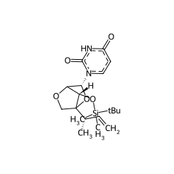 C=C[C@H](C)C12COC([C@H](n3ccc(=O)[nH]c3=O)O1)[C@@H]2O[Si](C)(C)C(C)(C)C